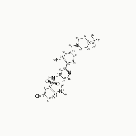 CN(C)c1ncc(Cl)cc1S(=O)(=O)Nc1ccnc(-c2ccc(CN3CCN(C(C)(C)C)CC3)cc2F)c1